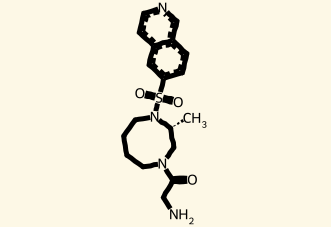 C[C@@H]1CN(C(=O)CN)CCCCN1S(=O)(=O)c1ccc2cnccc2c1